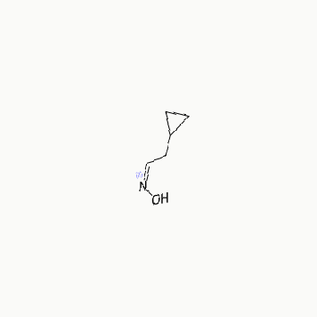 O/N=C\CC1CC1